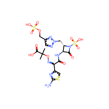 CC(C)(ON=C(C(=O)N[C@@H]1C(=O)N(S(=O)(=O)O)[C@H]1Cn1ncc(COS(=O)(=O)O)n1)c1csc(N)n1)C(=O)O